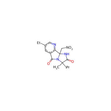 CCc1cnc2c(c1)C(=O)N1C2(C[N+](=O)[O-])NC(=O)C1(C)C(C)C